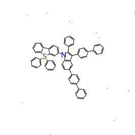 c1ccc(-c2ccc(-c3ccc4c(c3)c(-c3ccc(-c5ccccc5)cc3)c(-c3ccccc3)n4-c3ccc4c(c3)S(c3ccccc3)(c3ccccc3)c3ccccc3-4)cc2)cc1